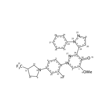 COc1cn(-c2ccc(N3CCC(C(F)(F)F)C3)cc2F)nc(-c2ccnn2-c2ccccc2)c1=O